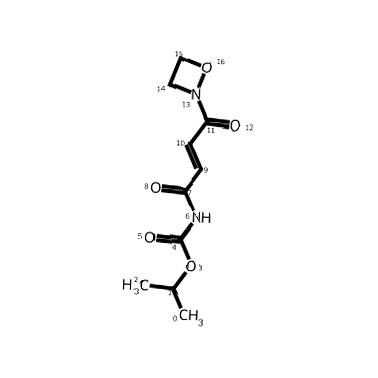 CC(C)OC(=O)NC(=O)/C=C/C(=O)N1CCO1